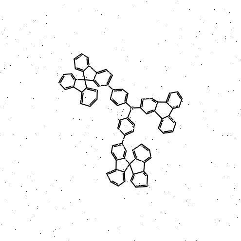 c1ccc2c(c1)-c1ccccc1C21c2ccccc2-c2ccc(-c3ccc(N(c4ccc(-c5ccc6c(c5)C5(c7ccccc7-c7ccccc75)c5ccccc5-6)cc4)c4ccc5c6ccccc6c6ccccc6c5c4)cc3)cc21